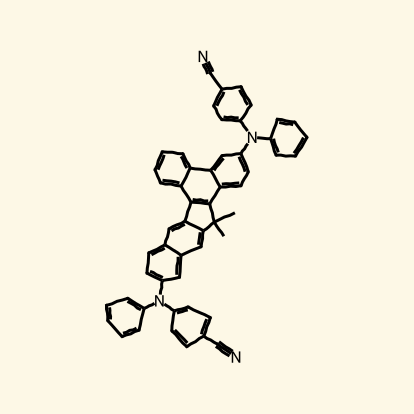 CC1(C)c2cc3cc(N(c4ccccc4)c4ccc(C#N)cc4)ccc3cc2-c2c1c1ccc(N(c3ccccc3)c3ccc(C#N)cc3)cc1c1ccccc21